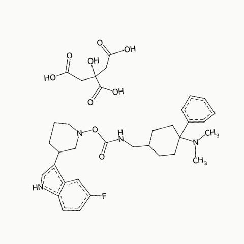 CN(C)C1(c2ccccc2)CCC(CNC(=O)ON2CCCC(c3c[nH]c4ccc(F)cc34)C2)CC1.O=C(O)CC(O)(CC(=O)O)C(=O)O